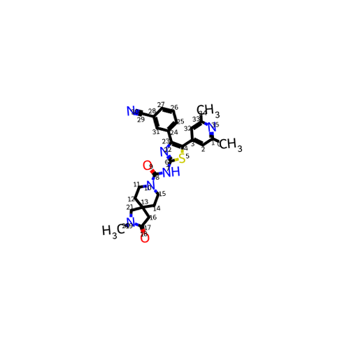 Cc1cc(-c2sc(NC(=O)N3CCC4(CC3)CC(=O)N(C)C4)nc2-c2cccc(C#N)c2)cc(C)n1